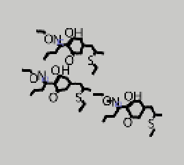 CCC/C(=N\OCC)C1=C(O)CC(CC(C)SCC)CC1=O.CCC/C(=N\OCC)C1=C(O)CC(CC(C)SCC)CC1=O.CCC/C(=N\OCC)C1=C(O)CC(CC(C)SCC)CC1=O